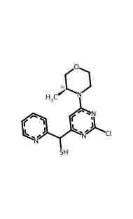 C[C@H]1COCCN1c1cc(C(S)c2ccccn2)nc(Cl)n1